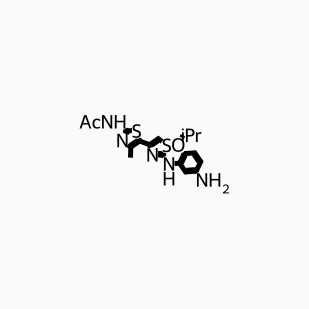 CC(=O)Nc1nc(C)c(-c2csc(Nc3cc(N)ccc3OC(C)C)n2)s1